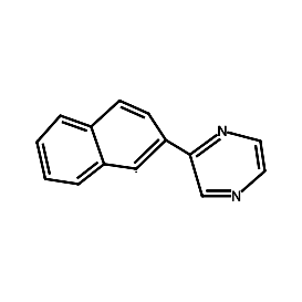 [c]1c(-c2cnccn2)ccc2ccccc12